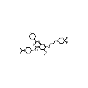 COc1cc2c(NC3CCN(C(C)C)CC3)nc(C3CCOCC3)nc2cc1OCCCN1CCC(F)(F)CC1